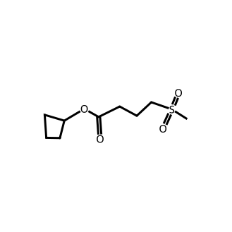 CS(=O)(=O)CCCC(=O)OC1CCC1